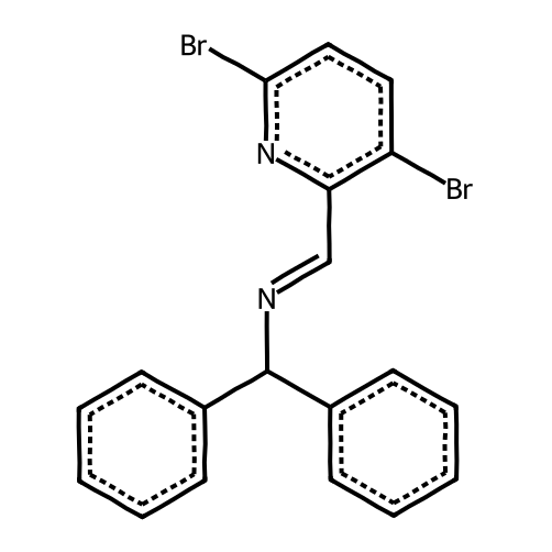 Brc1ccc(Br)c(/C=N/C(c2ccccc2)c2ccccc2)n1